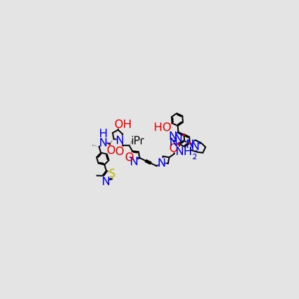 Cc1ncsc1-c1ccc([C@H](C)NC(=O)[C@@H]2C[C@@H](O)CN2C(=O)[C@@H](c2cc(C#CCN3CC(COc4cc(N5C6CCC5CN(c5cc(-c7ccccc7O)nnc5N)C6)ccn4)C3)no2)C(C)C)cc1